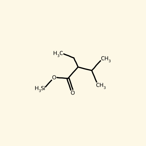 CCC(C(=O)O[SiH3])C(C)C